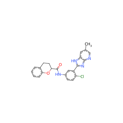 Cc1cnc2nc(-c3cc(NC(=O)C4CCc5ccccc5O4)ccc3Cl)[nH]c2c1